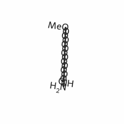 COCCOCCOCCOCCOCCOCCOCCOCCOCCOCCOCCOCCOCC(=O)NCCN